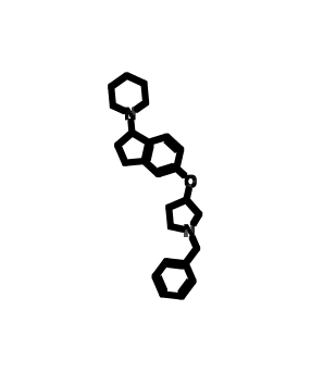 c1ccc(CN2CCC(Oc3ccc4c(c3)CCC4N3CCCCC3)C2)cc1